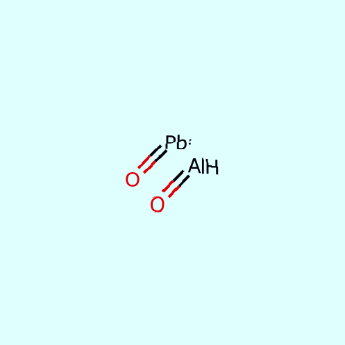 [O]=[AlH].[O]=[Pb]